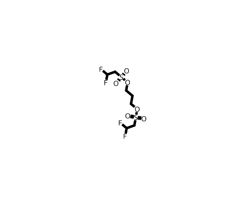 O=S(=O)(CC(F)F)OCCCOS(=O)(=O)CC(F)F